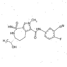 CC(O)[C@H]1CCc2c(cn(C)c2C(=O)Nc2ccc(F)c(C#N)c2)S(=N)(=O)N1